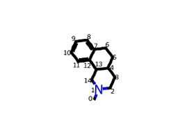 CN1CCC2CCc3ccccc3C2C1